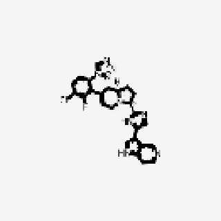 Fc1c(Cl)ccc(-n2cnnn2)c1C1=CCN2[C@H](CC[C@H]2c2ncc(-c3c[nH]c4ccncc34)[nH]2)C1